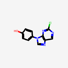 Oc1ccc(-n2cnc3cnc(Cl)nc32)cc1